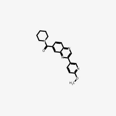 COc1ccc(-c2cnc3ccc(C(=O)N4CCCCC4)cc3n2)cn1